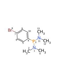 CN(C)P(c1ccc(Br)cc1)N(C)C